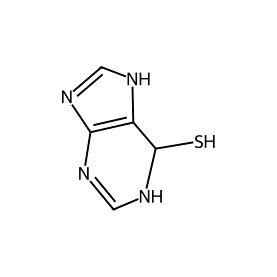 SC1NC=Nc2nc[nH]c21